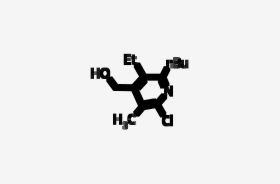 CCCCc1nc(Cl)c(C)c(CO)c1CC